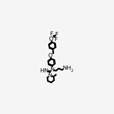 CC1CCCCN1C(=N)N(CCCN)c1ccc(OCc2ccc(OC(F)(F)F)cc2)cc1